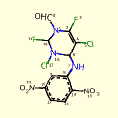 O=CN1C(F)=C(Cl)C(Nc2cc([N+](=O)[O-])ccc2[N+](=O)[O-])N(Cl)C1F